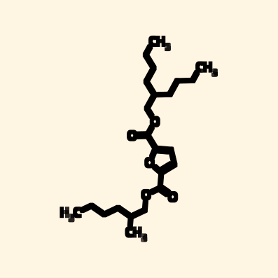 CCCCC(C)COC(=O)c1ccc(C(=O)OCC(CCCC)CCCC)o1